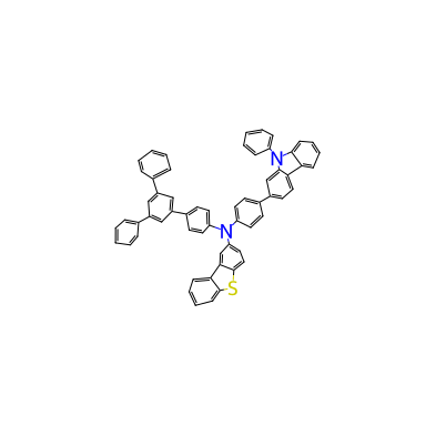 c1ccc(-c2cc(-c3ccccc3)cc(-c3ccc(N(c4ccc(-c5ccc6c7ccccc7n(-c7ccccc7)c6c5)cc4)c4ccc5sc6ccccc6c5c4)cc3)c2)cc1